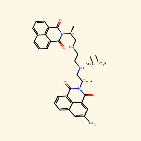 CS(=O)(=O)O.CS(=O)(=O)O.C[C@@H](CNCCNC[C@H](C)N1C(=O)c2cccc3cc([N+](=O)[O-])cc(c23)C1=O)N1C(=O)c2cccc3cccc(c23)C1=O